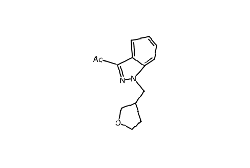 CC(=O)c1nn(CC2CCOC2)c2ccccc12